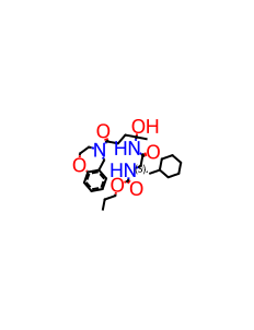 CCCOC(=O)N[C@@H](CC1CCCCC1)C(=O)NC(C)(O)CCC(=O)N1CCOc2ccccc2C1